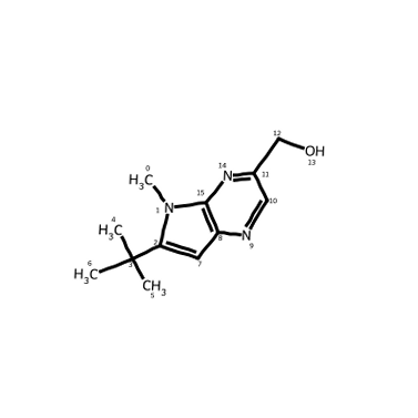 Cn1c(C(C)(C)C)cc2ncc(CO)nc21